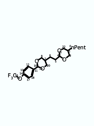 CCCCCC1COC(CCC2COC(c3ccc(OC(F)(F)F)cc3)OC2)OC1